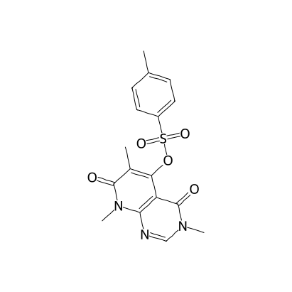 Cc1ccc(S(=O)(=O)Oc2c(C)c(=O)n(C)c3ncn(C)c(=O)c23)cc1